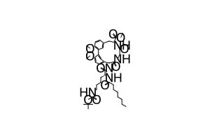 CCCCCCCC(=O)N[C@@H](CCCCNC(=O)OC(C)(C)C)C(=O)N(C)[C@@H]1C(=O)N[C@@H](C)C(=O)N[C@H](C(=O)OC)Cc2ccc(OC)c(c2)-c2cc1ccc2OC